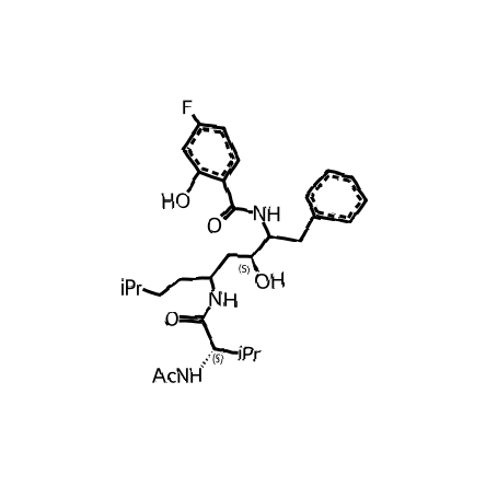 CC(=O)N[C@H](C(=O)NC(CCC(C)C)C[C@H](O)C(Cc1ccccc1)NC(=O)c1ccc(F)cc1O)C(C)C